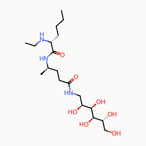 CCCC[C@@H](NCC)C(=O)N[C@H](C)CCC(=O)NC[C@H](O)[C@@H](O)[C@H](O)[C@H](O)CO